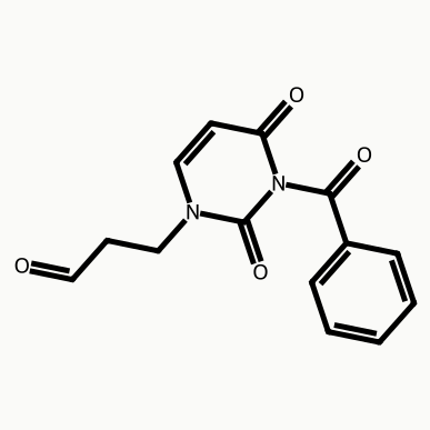 O=CCCn1ccc(=O)n(C(=O)c2ccccc2)c1=O